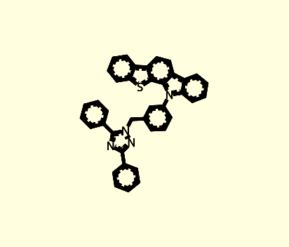 c1ccc(-c2nc(-c3ccccc3)n(Cc3cccc(-n4c5ccccc5c5ccc6c7ccccc7sc6c54)c3)n2)cc1